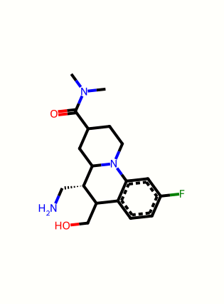 CN(C)C(=O)C1CCN2c3cc(F)ccc3C(CO)[C@H](CN)C2C1